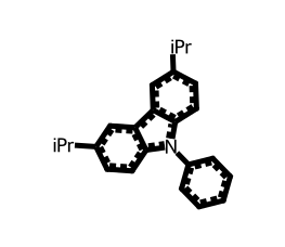 CC(C)c1ccc2c(c1)c1cc(C(C)C)ccc1n2-c1ccccc1